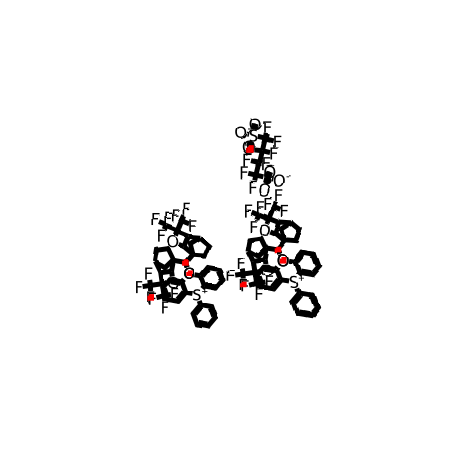 FC(F)(F)C1(C(F)(F)F)OC2C1C1CCC2(COc2ccccc2[S+](c2ccccc2)c2ccccc2OCC23CCC(C2)C2C3OC2(C(F)(F)F)C(F)(F)F)C1.FC(F)(F)C1(C(F)(F)F)OC2C1C1CCC2(COc2ccccc2[S+](c2ccccc2)c2ccccc2OCC23CCC(C2)C2C3OC2(C(F)(F)F)C(F)(F)F)C1.O=S(=O)([O-])C(F)(F)C(F)(F)C(F)(F)C(F)(F)S(=O)(=O)[O-]